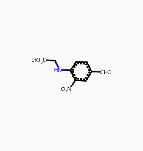 CCOC(=O)CNc1ccc(C=O)cc1[N+](=O)[O-]